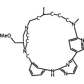 COCC1CN2CCC(C)CCCN(C)c3ccc(cn3)-c3ccnc(n3)Nc3cccc(c3)CN1CC2